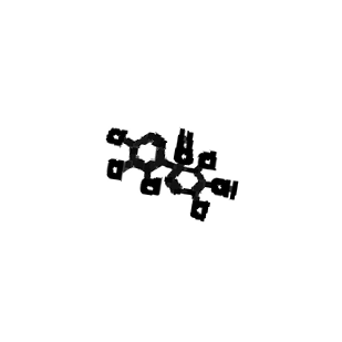 OC1=C(Cl)C=CC(O)(c2ccc(Cl)c(Cl)c2Cl)C1Cl